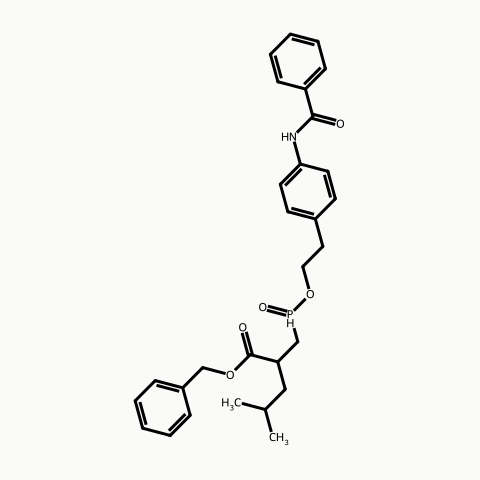 CC(C)CC(C[PH](=O)OCCc1ccc(NC(=O)c2ccccc2)cc1)C(=O)OCc1ccccc1